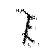 CCCCCCCCC(C)OC(O)CCCCCCCN(CCO)CCCCCCCOC(=O)C(CCCCCCCC)CCCCCCCC